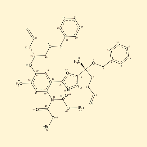 C=CCC[C@@](OCc1ccccc1)(c1nnc(-c2nc(O[C@H](CC=C)COCc3ccccc3)c(C(F)(F)F)cc2N(C(=O)OC(C)(C)C)C(=O)OC(C)(C)C)o1)C(F)(F)F